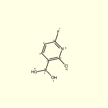 OB(O)c1ccc(F)nc1Cl